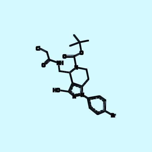 CC(C)(C)OC(=O)N1CCc2c(c(O)nn2-c2ccc(Br)cc2)C1CNC(=O)CCl